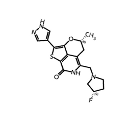 C[C@@H]1Cc2c(CN3CC[C@H](F)C3)[nH]c(=O)c3sc(-c4cn[nH]c4)c(c23)O1